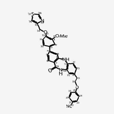 COc1cc(-c2ccc3c(c2)Nc2ccc(CCOc4ccc(C#N)cc4)cc2NC3=O)ccc1OCc1cscn1